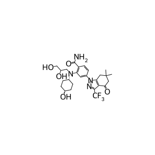 CC1(C)CC(=O)c2c(C(F)(F)F)nn(-c3ccc(C(N)=O)c(N(CC(O)CO)[C@H]4CC[C@H](O)CC4)c3)c2C1